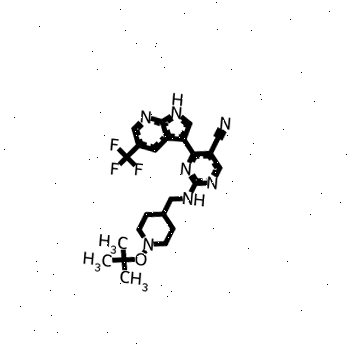 CC(C)(C)ON1CCC(CNc2ncc(C#N)c(-c3c[nH]c4ncc(C(F)(F)F)cc34)n2)CC1